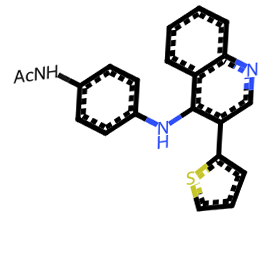 CC(=O)Nc1ccc(Nc2c(-c3cccs3)cnc3ccccc23)cc1